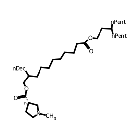 CCCCCCCCCCC(CCCCCCCCC(=O)OCCC(CCCCC)CCCCC)COC(=O)[C@H]1CCN(C)C1